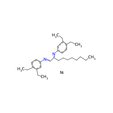 CCCCCCCCC(C=Nc1ccc(CC)c(CC)c1)=Nc1ccc(CC)c(CC)c1.[Ni]